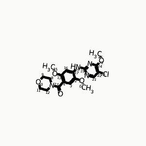 COc1cc(C(=O)N2CCOCC2)c(OC)cc1Nc1ncc(Cl)c(OC)n1